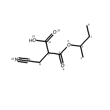 CCC(C)OC(=O)C(CC#N)C(=O)O